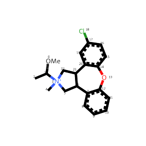 COC(C)[N+]1(C)CC2c3ccccc3Oc3ccc(Cl)cc3C2C1